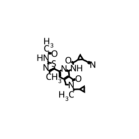 CC(=O)Nc1nc(C)c(-c2cc3c(c(NC(=O)C4CC4C#N)n2)C(=O)N(C(C)C2CC2)C3)s1